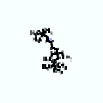 CCC(CC)(CCC/C=C/C(C)(C)C)COC(C)(C)C